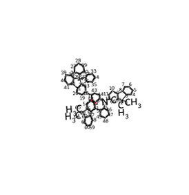 CC1(C)c2ccccc2-c2ccc(N(c3ccc(-c4ccc5c(c4)C(c4ccccc4)(c4ccccc4)c4ccccc4-5)cc3)c3ccccc3-c3cccc4c3-c3ccccc3C4(C)C)cc21